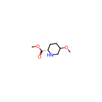 COC(=O)[C@@H]1CCC(OC)CN1